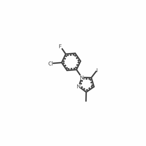 Cc1cc(I)n(-c2ccc(F)c(Cl)c2)n1